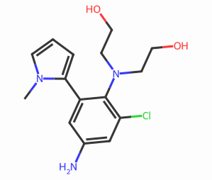 Cn1cccc1-c1cc(N)cc(Cl)c1N(CCO)CCO